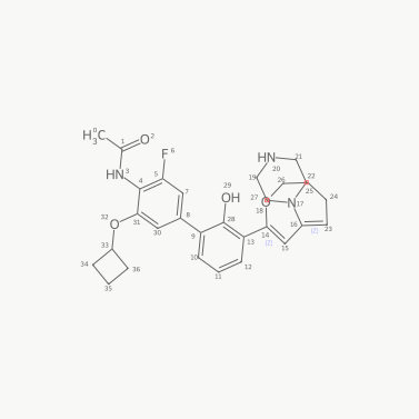 CC(=O)Nc1c(F)cc(-c2cccc(/C3=C/C(N4CCNCC4)=C/CCCO3)c2O)cc1OC1CCC1